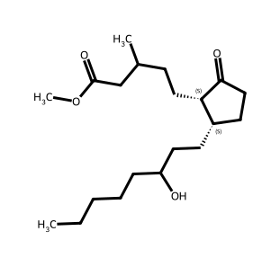 CCCCCC(O)CC[C@H]1CCC(=O)[C@H]1CCC(C)CC(=O)OC